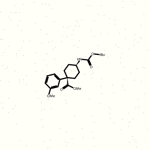 COc1cccc([C@]2(C(=O)OC)CC[C@@H](NC(=O)OC(C)(C)C)CC2)c1